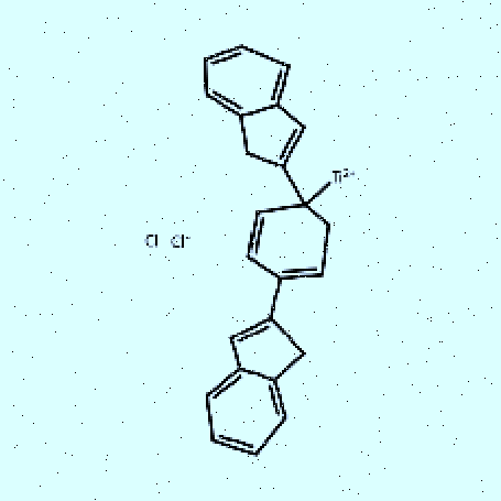 [Cl-].[Cl-].[Ti+2][C]1(C2=Cc3ccccc3C2)C=CC(C2=Cc3ccccc3C2)=CC1